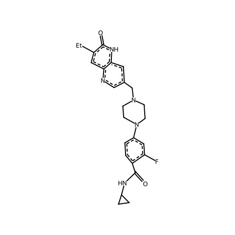 CCc1cc2ncc(CN3CCN(c4ccc(C(=O)NC5CC5)c(F)c4)CC3)cc2[nH]c1=O